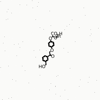 CCO[C@@H](Oc1ccc(OCC(=O)c2cccc(CO)c2)cc1)C(=O)O